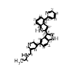 CCNCc1cncc(-c2ccc3[nH]nc(-c4cc5c(-c6ccccn6)cccc5[nH]4)c3c2)c1